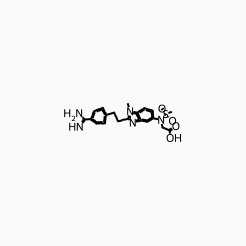 Cn1c(CCc2ccc(C(=N)N)cc2)nc2cc(N(CC(=O)O)S(C)(=O)=O)ccc21